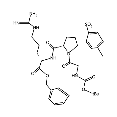 CC(C)(C)OC(=O)NCC(=O)N1CCC[C@H]1C(=O)N[C@@H](CCCNC(=N)N)C(=O)OCc1ccccc1.Cc1ccc(S(=O)(=O)O)cc1